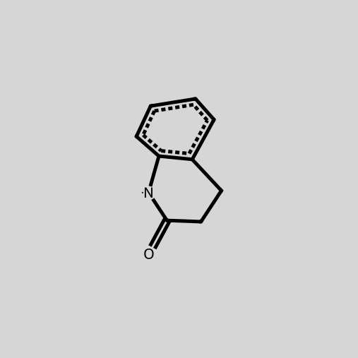 O=C1CCc2ccccc2[N]1